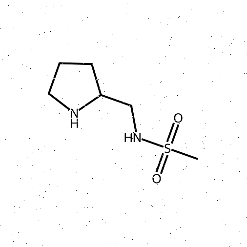 CS(=O)(=O)NCC1CCCN1